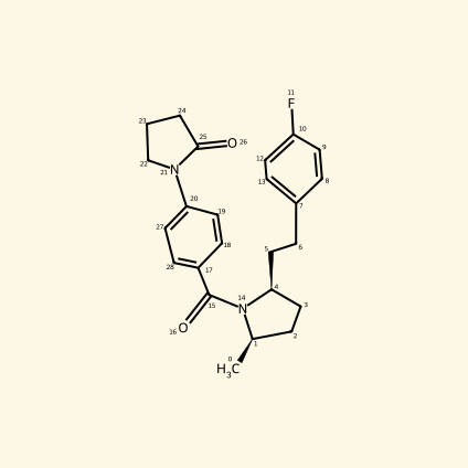 C[C@@H]1CC[C@H](CCc2ccc(F)cc2)N1C(=O)c1ccc(N2CCCC2=O)cc1